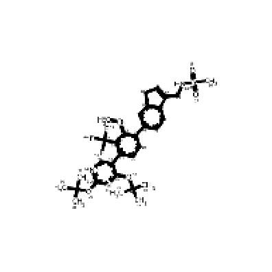 COc1c(-c2ccc3c(c2)CC=C3CNS(C)(=O)=O)ccc(-c2cnc(OC(C)(C)C)nc2OC(C)(C)C)c1C(F)(F)F